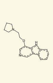 c1ccc2c(c1)[nH]c1c(OCCN3CCCC3)cncc12